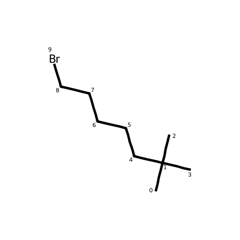 CC(C)(C)CCCCCBr